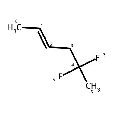 CC=CCC(C)(F)F